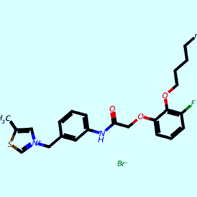 CCCCCCCCCCCCCCOc1c(F)cccc1OCC(=O)Nc1cccc(C[n+]2csc(C)c2)c1.[Br-]